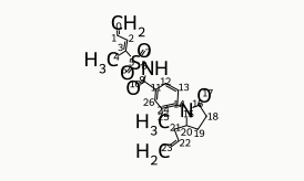 C=C/C=C(\C)S(=O)(=O)NC(=O)c1ccc(N2C(=O)CCC2CC=C)c(C)c1